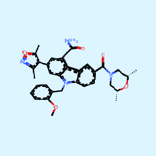 COc1ccccc1Cn1c2ccc(C(=O)N3C[C@@H](C)O[C@@H](C)C3)cc2c2c(C(N)=O)cc(-c3c(C)noc3C)cc21